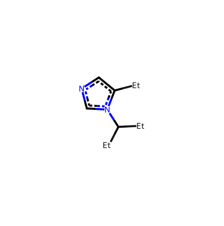 CCc1cncn1C(CC)CC